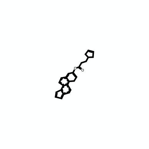 O=C(CCC1CC=CC1)OC1=CCc2c(ccc3c4c(ccc23)=CC=C4)=C1